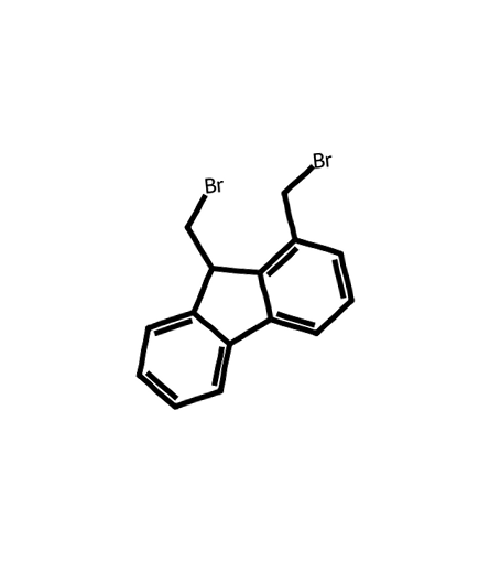 BrCc1cccc2c1C(CBr)c1ccccc1-2